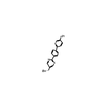 CCCc1ccc(-c2ccc(-c3ncc(C[C@@H](C)CC)cn3)cc2)nc1